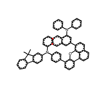 CC1(C)c2ccccc2-c2ccc(N(c3ccccc3)c3ccc(-c4cccc5c4Oc4c(-c6cc(N(c7ccccc7)c7ccccc7)c7ccccc7c6)ccc6cccc-5c46)cc3)cc21